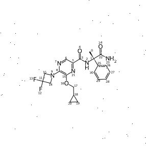 C[C@@](NC(=O)c1cnc(N2CC(F)(F)C2)c(OCC2CC2)n1)(C(N)=O)c1ccccc1